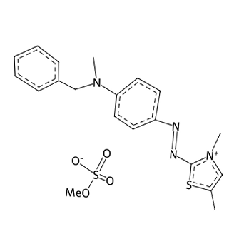 COS(=O)(=O)[O-].Cc1c[n+](C)c(N=Nc2ccc(N(C)Cc3ccccc3)cc2)s1